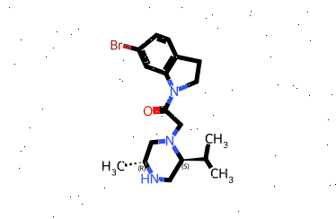 CC(C)[C@H]1CN[C@H](C)CN1CC(=O)N1CCc2ccc(Br)cc21